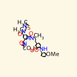 COc1cccc(CNc2ccc(CCC(C)NC(=O)c3cc(C(=O)N(C)Cc4nc(C)cs4)cc(-c4nc(C(=O)O)co4)c3)cc2O)c1